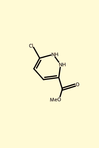 COC(=O)C1=CC=C(Cl)NN1